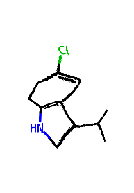 CC(C)C1CNC2=C1C=C(Cl)CC2